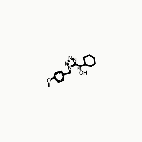 COc1ccc(Cn2nnnc2[C@H](O)C2CCCCC2)cc1